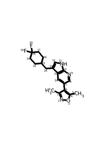 Cc1noc(C)c1-c1cnc2[nH]cc(CC3CCC(F)(F)CC3)c2c1